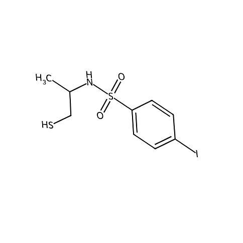 CC(CS)NS(=O)(=O)c1ccc(I)cc1